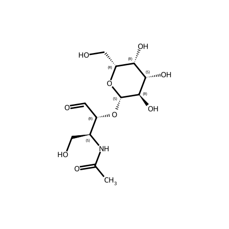 CC(=O)N[C@@H](CO)[C@H](C=O)O[C@@H]1O[C@H](CO)[C@H](O)[C@H](O)[C@H]1O